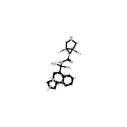 CC(C)(NC(=O)[C@H]1[C@@H]2CNC[C@@H]21)c1cn2cncc2c2ccccc12